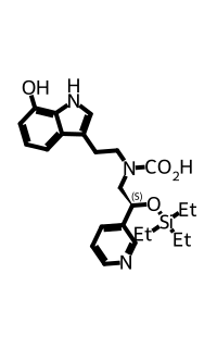 CC[Si](CC)(CC)O[C@H](CN(CCc1c[nH]c2c(O)cccc12)C(=O)O)c1cccnc1